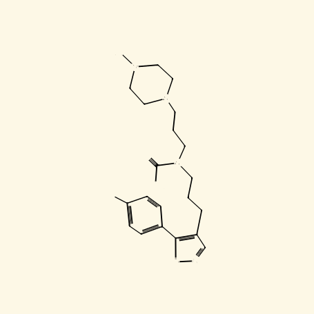 CN1CCN(CCCN(CCCc2cnoc2-c2ccc(F)cc2)C(=O)C(F)(F)F)CC1